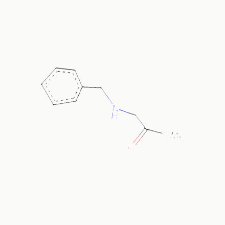 COC(=O)[CH]NCc1ccccc1